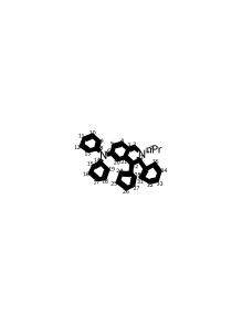 CCC[n+]1cc2ccc(N(c3ccccc3)c3ccccc3)cc2c(-c2ccccc2)c1-c1ccccc1